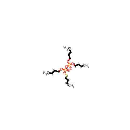 CCCCOP(=O)(OCCCC)OP(=O)(OCCCC)OSCCCC